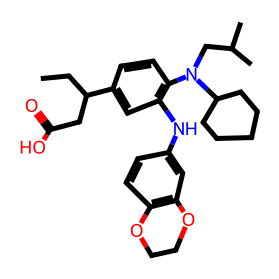 CCC(CC(=O)O)c1ccc(N(CC(C)C)C2CCCCC2)c(Nc2ccc3c(c2)OCCO3)c1